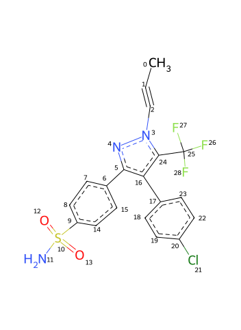 CC#Cn1nc(-c2ccc(S(N)(=O)=O)cc2)c(-c2ccc(Cl)cc2)c1C(F)(F)F